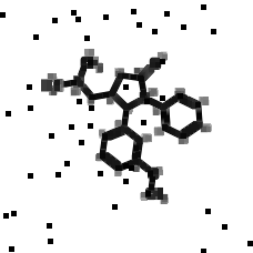 COc1cccc(C2C(CN(C)C)CC(=O)N2c2ccccc2)c1